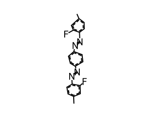 Cc1ccc(N=Nc2ccc(N=Nc3ccc(C)cc3F)cc2)c(F)c1